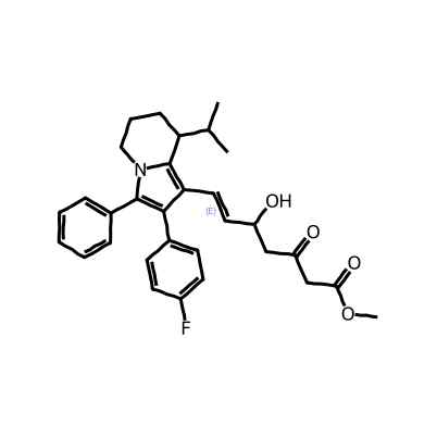 COC(=O)CC(=O)CC(O)/C=C/c1c(-c2ccc(F)cc2)c(-c2ccccc2)n2c1C(C(C)C)CCC2